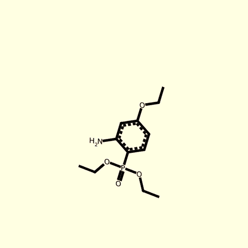 CCOc1ccc(P(=O)(OCC)OCC)c(N)c1